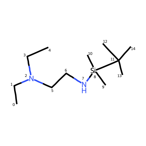 CCN(CC)CCN[Si](C)(C)C(C)(C)C